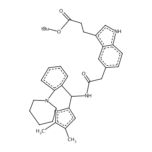 Cc1cc(C(NC(=O)Cc2ccc3[nH]cc(CCC(=O)OC(C)(C)C)c3c2)c2ccccc2N2CCCCC2)oc1C